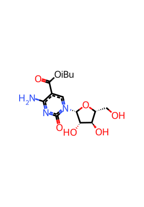 CC(C)COC(=O)c1cn([C@@H]2O[C@H](CO)[C@@H](O)[C@@H]2O)c(=O)nc1N